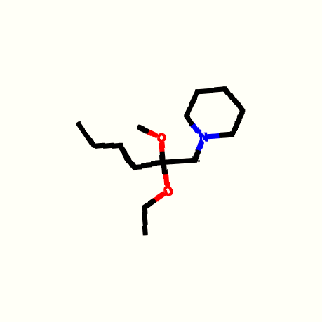 CCCCC([CH]N1CCCCC1)(OC)OCC